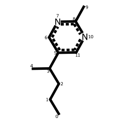 CCCC(C)c1cnc(C)nc1